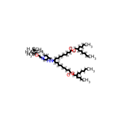 CCCCCCC(CCCC)COC(=O)CCCCCCCCC(CCCCCCCCC(=O)OCC(CCCC)CCCCCC)NCC1CCN(CCO[Si](C)(C)C(C)(C)C)CC1